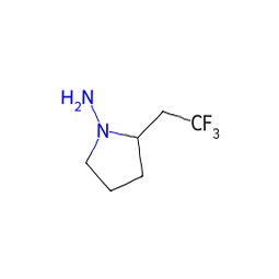 NN1CCCC1CC(F)(F)F